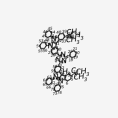 CC(C)(C)c1ccc2c(c1)c1c3cc(-c4nc(-c5ccccc5)nc(-c5ccc6c(c5)c5c7cc(C(C)(C)C)ccc7n(-c7ccccc7)c5n6-c5ccccc5)n4)ccc3n(-c3ccccc3)c1n2-c1ccccc1